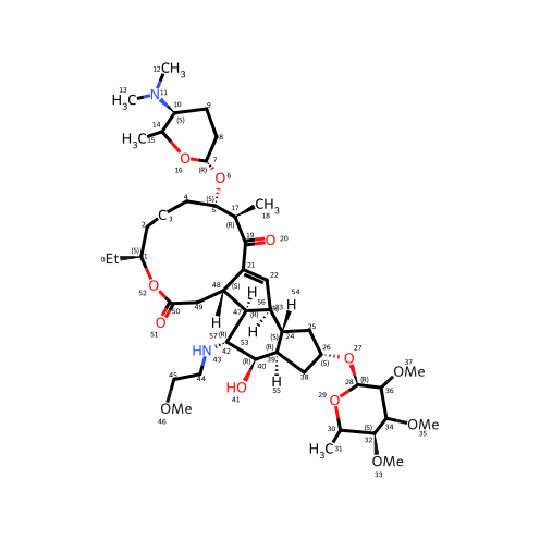 CC[C@H]1CCC[C@H](O[C@H]2CC[C@H](N(C)C)C(C)O2)[C@@H](C)C(=O)C2=C[C@H]3[C@@H]4C[C@H](O[C@@H]5OC(C)[C@H](OC)C(OC)C5OC)C[C@H]4[C@@H](O)[C@H](NCCOC)[C@H]3[C@@H]2CC(=O)O1